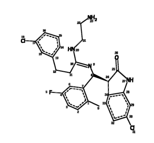 Cc1ccc(F)cc1C(/N=C(\CCc1cccc(Cl)c1)NCCN)[C@H]1C(=O)Nc2cc(Cl)ccc21